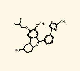 COc1cc2c(cc1OCC(F)F)C1CC(O)CCC1N=C2c1cccc(-c2csc(C)n2)c1